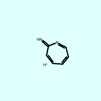 N=c1cccccn1.[H+]